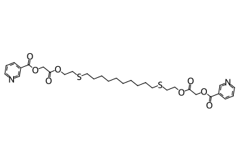 O=C(COC(=O)c1cccnc1)OCCSCCCCCCCCCCSCCOC(=O)COC(=O)c1cccnc1